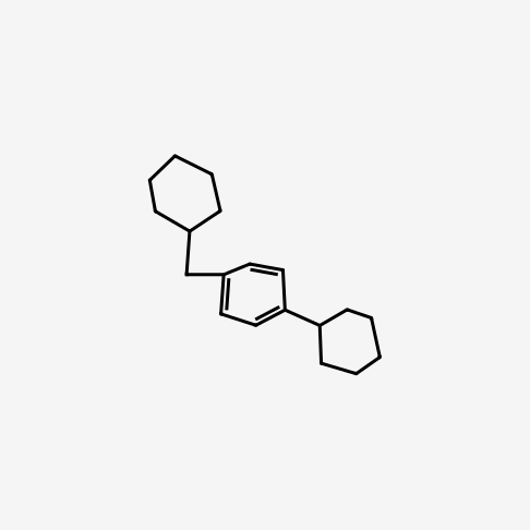 c1cc(C2CCCCC2)ccc1CC1CCCCC1